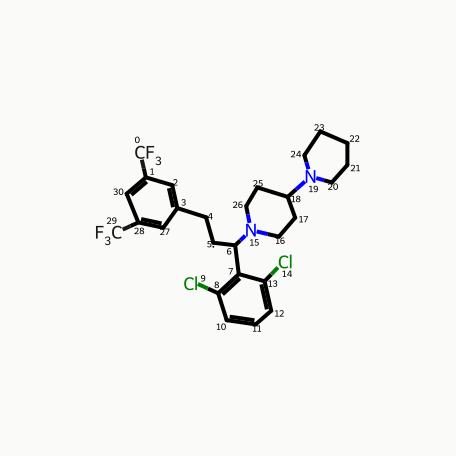 FC(F)(F)c1cc(C[CH]C(c2c(Cl)cccc2Cl)N2CCC(N3CCCCC3)CC2)cc(C(F)(F)F)c1